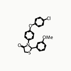 COc1cccc(C2SCC(=O)N2c2ccc(Oc3ccc(Cl)cc3)cc2)c1